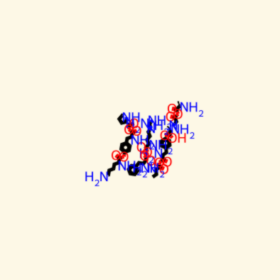 CC[C@H](N)C(=O)OC(=O)[C@@H](N)Cc1ccccc1.C[C@@H](N)C(=O)O.C[C@@H](N)C(=O)OC(=O)CN.NC(N)=NCCC[C@@H](N)C(=O)OOC(=O)[C@H](N)Cc1ccccc1.NCCCC[C@@H](N)C(=O)Oc1ccc(C[C@@H](N)C(=O)OC(=O)[C@H]2CCCN2)cc1